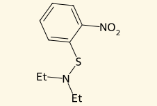 CCN(CC)Sc1ccccc1[N+](=O)[O-]